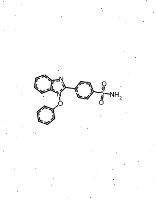 NS(=O)(=O)c1ccc(-c2nc3ccccc3n2Oc2ccccc2)cc1